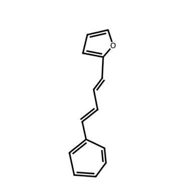 C(C=Cc1ccco1)=Cc1ccccc1